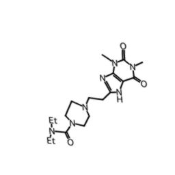 CCN(CC)C(=O)N1CCN(CCc2nc3c([nH]2)c(=O)n(C)c(=O)n3C)CC1